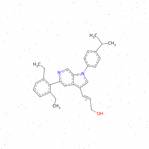 CCc1cccc(CC)c1-c1cc2c(/C=C/CO)cn(-c3ccc(C(C)C)cc3)c2cn1